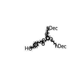 CCCCCCCCCCCCCCOc1cc(COC(=O)CCCN2CCN(CCO)CC2)cc(OCCCCCCCCCCCCC)c1